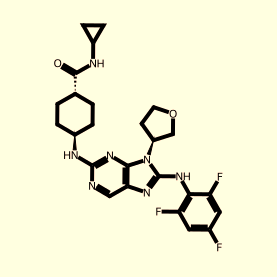 O=C(NC1CC1)[C@H]1CC[C@H](Nc2ncc3nc(Nc4c(F)cc(F)cc4F)n([C@H]4CCOC4)c3n2)CC1